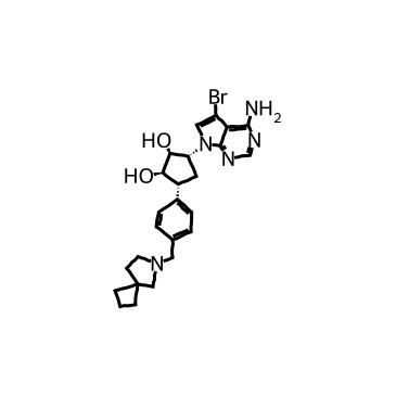 Nc1ncnc2c1c(Br)cn2[C@@H]1C[C@H](c2ccc(CN3CCC4(CCC4)C3)cc2)[C@@H](O)[C@H]1O